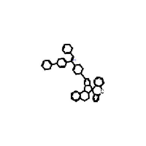 C1=CCCC(/C=C(\C2=CCC(C3=CC=CCC3)C=C2)C2=CCC(C3=CC4C5c6ccccc6CCC5C5(c6ccccc6Oc6ccccc65)C4C=C3)CC2)=C1